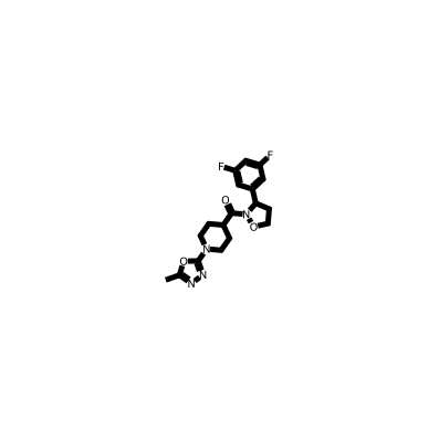 Cc1nnc(N2CCC(C(=O)N3OCCC3c3cc(F)cc(F)c3)CC2)o1